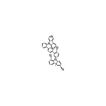 CC12C=C(C#N)C=CC1N(c1ccc(C#N)c(-c3ccc(-c4ccccc4-n4c5ccccc5c5cnccc54)cc3)c1)c1c(C#N)cccc12